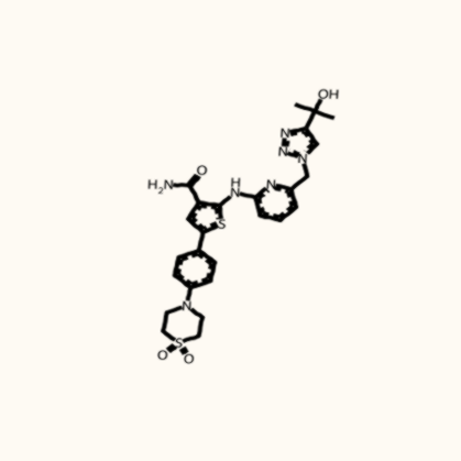 CC(C)(O)c1cn(Cc2cccc(Nc3sc(-c4ccc(N5CCS(=O)(=O)CC5)cc4)cc3C(N)=O)n2)nn1